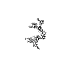 C/N=C/c1cncc(COc2cc(OCc3cccc(-c4cccc(COc5cc(OCc6cncc(C#N)c6)c(CNC(CCO)C(=O)O)cc5Cl)c4C)c3C)c(Cl)cc2CNC(CCO)C(=O)O)c1